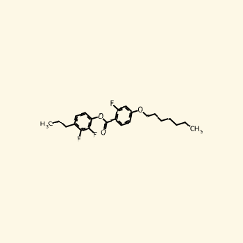 CCCCCCCOc1ccc(C(=O)Oc2ccc(CCC)c(F)c2F)c(F)c1